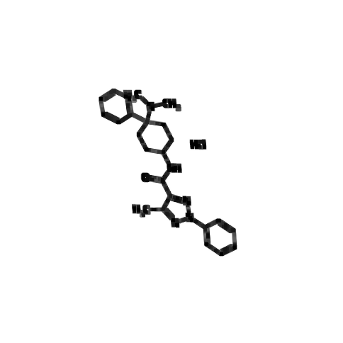 Cc1nn(-c2ccccc2)nc1C(=O)NC1CCC(c2ccccc2)(N(C)C)CC1.Cl